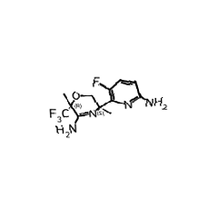 C[C@]1(c2nc(N)ccc2F)CO[C@@](C)(C(F)(F)F)C(N)=N1